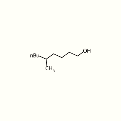 CCCCC(C)CCCCO